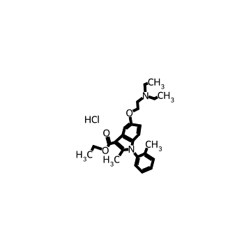 CCOC(=O)c1c(C)n(-c2ccccc2C)c2ccc(OCCN(CC)CC)cc12.Cl